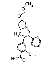 COCO[C@H]1CCN(C[C@@H](c2ccccc2)N(C)c2ccc(C(=O)O)c(C)c2)C1